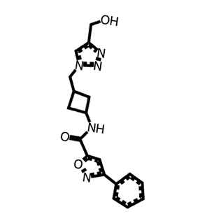 O=C(NC1CC(Cn2cc(CO)nn2)C1)c1cc(-c2ccccc2)no1